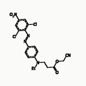 CCN(CCC(=O)OCC#N)c1ccc(N=Nc2c(Cl)cc([N+](=O)[O-])cc2Cl)cc1